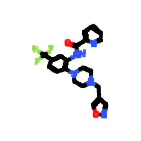 O=C(Nc1cc(C(F)(F)F)ccc1N1CCN(Cc2cnoc2)CC1)c1ccccn1